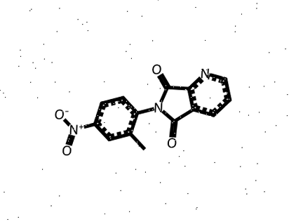 Cc1cc([N+](=O)[O-])ccc1N1C(=O)c2cccnc2C1=O